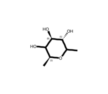 CC1O[C@@H](C)C(O)[C@@H](O)[C@@H]1O